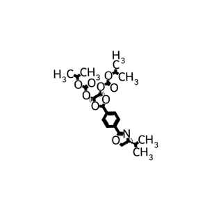 CC(C)OC(=O)O[C@H]1OC(c2ccc(C3=N[C@@H](C(C)C)CO3)cc2)O[C@@H]1OC(=O)OC(C)C